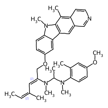 C/C=C(C)\C=C(\COc1ccc2c(c1)c1cc3cnccc3c(C)c1n2C)N(C)C(C)N(C)c1ccc(OC)cc1C